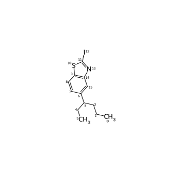 CCCC(CC)c1ccc2sc(I)nc2c1